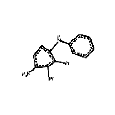 CC(C)c1c(N)ccc(Nc2ccccc2)c1C(C)C